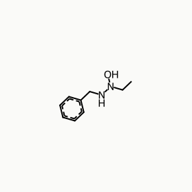 CCN(O)NCc1ccccc1